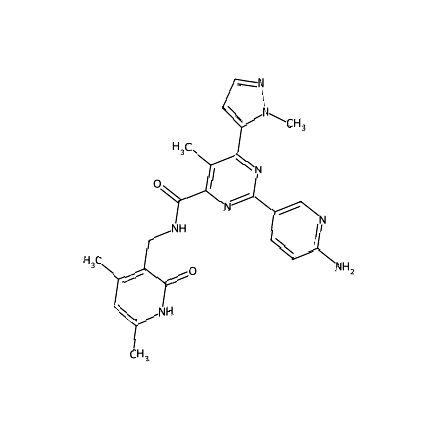 Cc1cc(C)c(CNC(=O)c2nc(-c3ccc(N)nc3)nc(-c3ccnn3C)c2C)c(=O)[nH]1